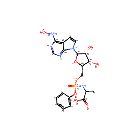 CC(N[P@@](=O)(OC[C@H]1O[C@@H](n2ccc3c(NO)ncnc32)[C@H](O)[C@@H]1O)Oc1ccccc1)C(=O)O